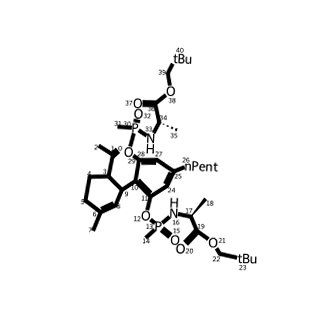 C=C(C)C1CCC(C)=CC1c1c(OP(C)(=O)N[C@@H](C)C(=O)OCC(C)(C)C)cc(CCCCC)cc1OP(C)(=O)N[C@@H](C)C(=O)OCC(C)(C)C